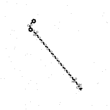 CC(C)(C)OC(=O)NCCNC(=O)CCOCCOCCOCCOCCOCCOCCOCCOCCOCCOCCOCCOCCNC(=O)COc1cccc(C(=O)OCc2ccccc2)c1